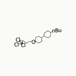 CCCCC1CCC(C2CCC(OCCC[Si](Cl)(Cl)Cl)CC2)CC1